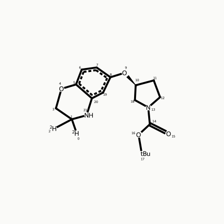 [2H]C1([2H])COc2ccc(O[C@H]3CCN(C(=O)OC(C)(C)C)C3)cc2N1